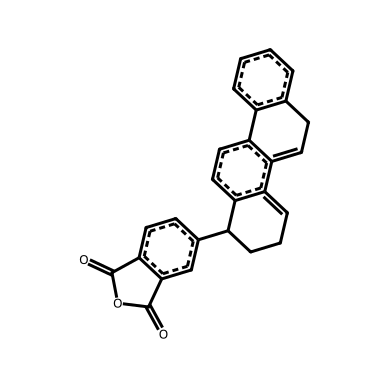 O=C1OC(=O)c2cc(C3CCC=c4c3ccc3c4=CCc4ccccc4-3)ccc21